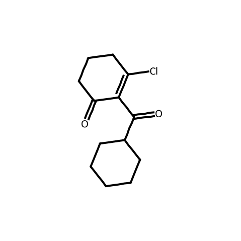 O=C1CCCC(Cl)=C1C(=O)C1CCCCC1